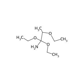 CCOC(C)C(N)(OCC)OCC